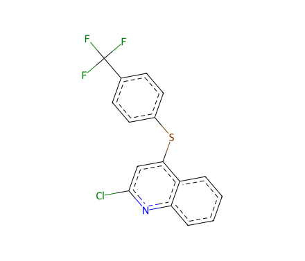 FC(F)(F)c1ccc(Sc2cc(Cl)nc3ccccc23)cc1